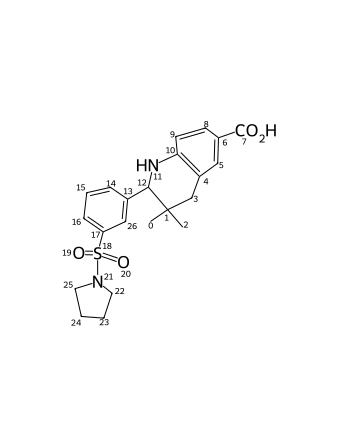 CC1(C)Cc2cc(C(=O)O)ccc2NC1c1cccc(S(=O)(=O)N2CCCC2)c1